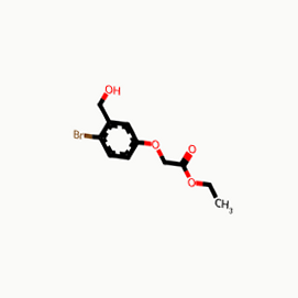 CCOC(=O)COc1ccc(Br)c(CO)c1